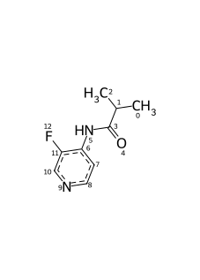 CC(C)C(=O)Nc1ccncc1F